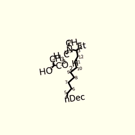 CC(O)C(=O)O.CCCCCCCCCCCCCCCCCCC(CC)N(C)C